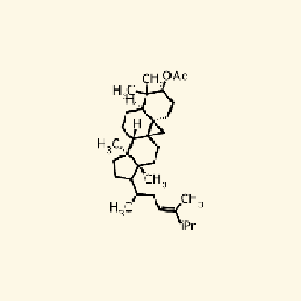 CC(=O)O[C@H]1CC[C@]23C[C@]24CC[C@]2(C)[C@@H]([C@H](C)C/C=C(\C)C(C)C)CC[C@@]2(C)[C@@H]4CC[C@H]3C1(C)C